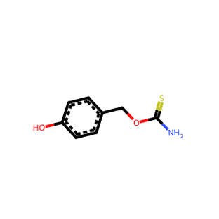 NC(=S)OCc1ccc(O)cc1